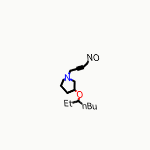 CCCCC(CC)OC1CCCN(CC#CCN=O)C1